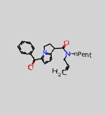 C=CCN(CCCCC)C(=O)C1CCn2c(C(=O)c3ccccc3)ccc21